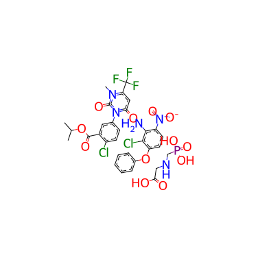 CC(C)OC(=O)c1cc(-n2c(=O)cc(C(F)(F)F)n(C)c2=O)ccc1Cl.Nc1c([N+](=O)[O-])ccc(Oc2ccccc2)c1Cl.O=C(O)CNCP(=O)(O)O